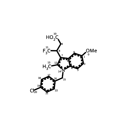 COc1ccc2c(c1)c(C(CC(=O)O)C(F)(F)F)c(C)n2Cc1ccc(Cl)cc1